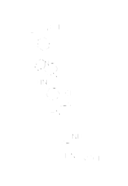 COc1ccc(-c2cnc3c(Nc4ccc(C(=O)N[C@H]5CC[C@@H](NC(=O)[C@@H]6C[C@@H](O)CN6)CC5)c(C)c4)nccn23)c(F)c1F